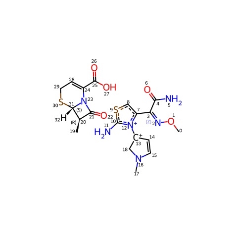 CO/N=C(\C(N)=O)c1csc(N)[n+]1[C+]1C=CN(C)C1.C[C@@H]1C(=O)N2C(C(=O)O)=CCS[C@@H]12